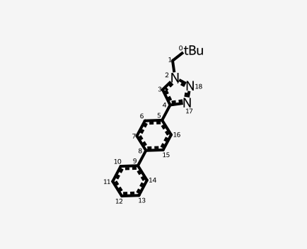 CC(C)(C)Cn1cc(-c2ccc(-c3ccccc3)cc2)nn1